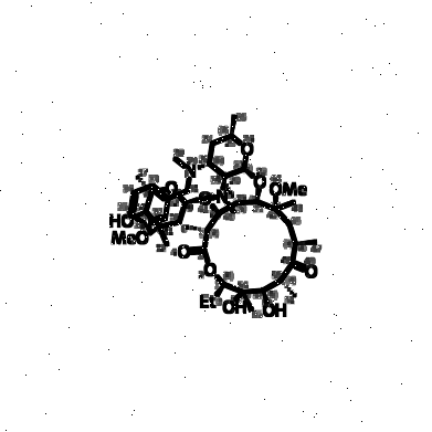 CC[C@H]1OC(=O)[C@H](C)[C@@H](O[C@H]2C[C@@](C)(OC)[C@@H](O)[C@H](C)O2)[C@H](C)[C@@H](O[C@@H]2O[C@H](C)C[C@@H](N(C)Cc3cccnc3)[C@@H]2N(C)C)[C@@](C)(OC)C[C@@H](C)C(=O)[C@H](C)[C@@H](O)[C@]1(C)O